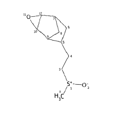 C[S+]([O-])CCC1CC2CC1C1OC21